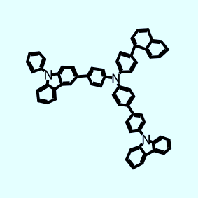 c1ccc(-n2c3ccccc3c3cc(-c4ccc(N(c5ccc(-c6ccc(-n7c8ccccc8c8ccccc87)cc6)cc5)c5ccc(-c6cccc7ccccc67)cc5)cc4)ccc32)cc1